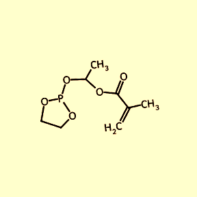 C=C(C)C(=O)OC(C)OP1OCCO1